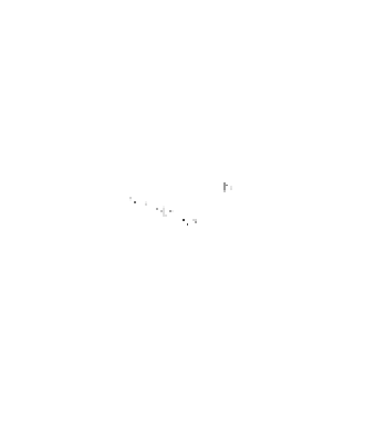 CCO.[Na].[Na].[Na].[Na]